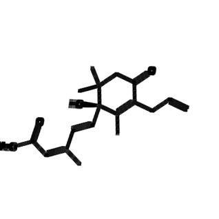 C=CCC1=C(C)[C@](O)(/C=C/C(C)=C\C(=O)OC)C(C)(C)CC1=O